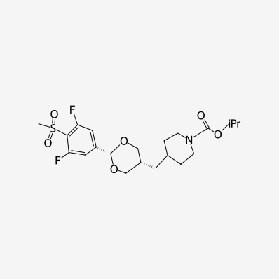 CC(C)OC(=O)N1CCC(C[C@H]2CO[C@@H](c3cc(F)c(S(C)(=O)=O)c(F)c3)OC2)CC1